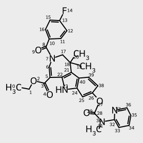 CCOC(=O)C1=CN(C(=O)c2ccc(F)cc2)CC(C)(C)c2c1[nH]c1cc(OC(=O)N(C)c3ccccn3)ccc21